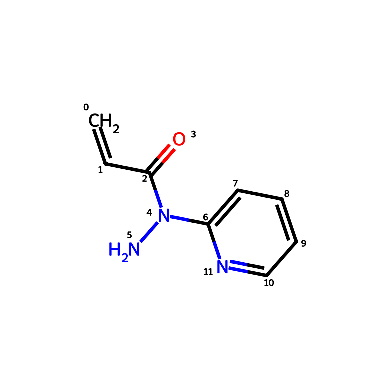 C=CC(=O)N(N)c1ccccn1